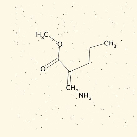 C=C(CCC)C(=O)OC.N